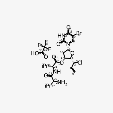 C=CC(Cl)[C@H]1O[C@@H](n2cc(Br)c(=O)[nH]c2=O)C[C@@H]1OC(=O)[C@@H](NC(=O)[C@@H](N)C(C)C)C(C)C.O=C(O)C(F)(F)F